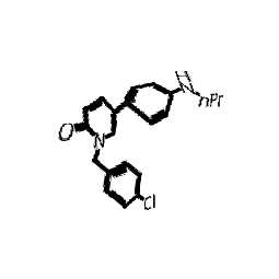 CCCNc1ccc(-c2ccc(=O)n(Cc3ccc(Cl)cc3)c2)cc1